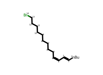 CCCC/C=C/C=C\CCCCCCCCCBr